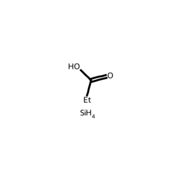 CCC(=O)O.[SiH4]